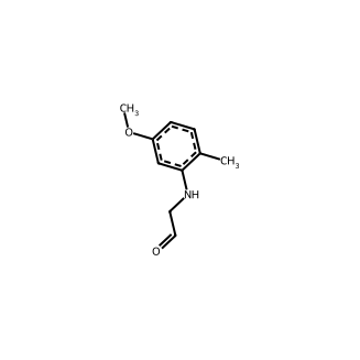 COc1ccc(C)c(NCC=O)c1